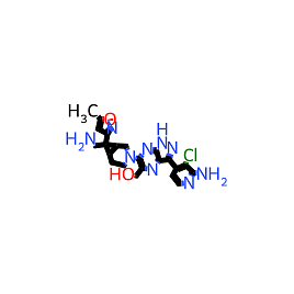 Cc1cc(C2(CN)C3CCN(c4nc5[nH]nc(-c6ccnc(N)c6Cl)c5nc4CO)CC32)no1